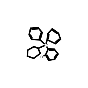 [O-]c1ccccc1[P+](c1ccccc1)(c1ccccc1)C1CCCCC1